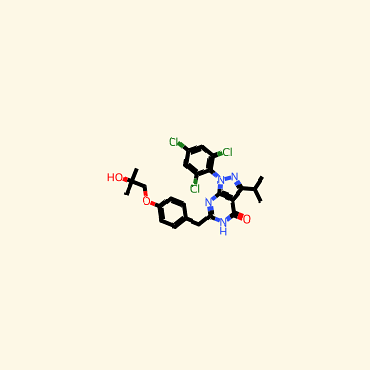 CC(C)c1nn(-c2c(Cl)cc(Cl)cc2Cl)c2nc(Cc3ccc(OCC(C)(C)O)cc3)[nH]c(=O)c12